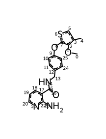 COc1c(C)csc1Oc1ccc(CNC(=O)c2cccnc2N)cc1